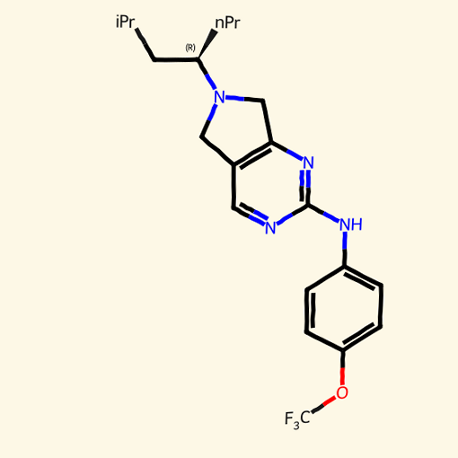 CCC[C@H](CC(C)C)N1Cc2cnc(Nc3ccc(OC(F)(F)F)cc3)nc2C1